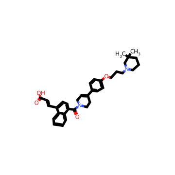 CC1(C)CCCN(CCCOc2ccc(C3=CCN(C(=O)c4ccc(/C=C/C(=O)O)c5ccccc45)CC3)cc2)C1